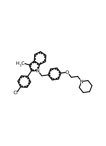 Cc1c(-c2ccc(Cl)cc2)n(Cc2ccc(OCCN3CCCCC3)cc2)c2ccccc12